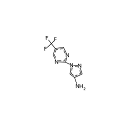 Nc1cnn(-c2ncc(C(F)(F)F)cn2)c1